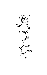 Cc1ccc(C=Cc2ccc(C(=O)O)cc2)cc1